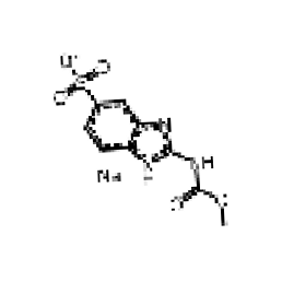 COC(=O)Nc1nc2cc(S(=O)(=O)[O-])ccc2[nH]1.[Na+]